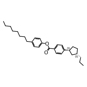 CCCCCCCCc1ccc(OC(=O)c2ccc([C@H]3CC[C@H](CCC)C3)cc2)cc1